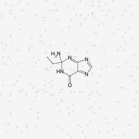 CCC1(N)N=C2N=CN=C2C(=O)N1